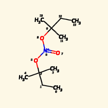 CCC(C)(C)O[N+](=O)OC(C)(C)CC